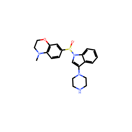 CN1CCOc2cc([S+]([O-])n3cc(N4CCNCC4)c4ccccc43)ccc21